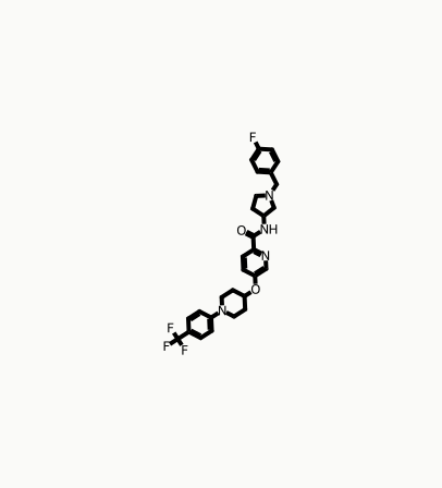 O=C(NC1CCN(Cc2ccc(F)cc2)C1)c1ccc(OC2CCN(c3ccc(C(F)(F)F)cc3)CC2)cn1